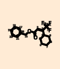 O=C(/C=C(\C1CCCCC1)C(F)(F)F)OCc1ccccc1